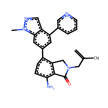 C=C(C#N)CN1Cc2c(-c3cc(-c4cccnc4)c4cnn(C)c4c3)ccc(N)c2C1=O